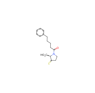 O=C(O)[C@@H]1C(=S)CCN1C(=O)CCCCc1ccccc1